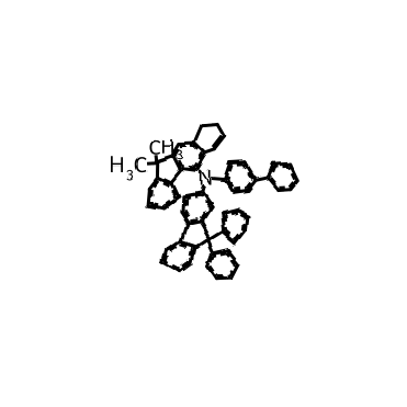 CC1(C)c2ccccc2-c2c1cc1c(c2N(c2ccc(-c3ccccc3)cc2)c2ccc3c(c2)C(c2ccccc2)(c2ccccc2)c2ccccc2-3)C=CCC1